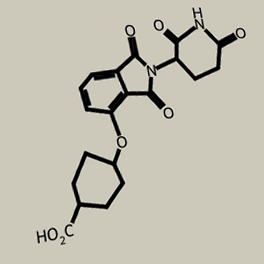 O=C1CCC(N2C(=O)c3cccc(OC4CCC(C(=O)O)CC4)c3C2=O)C(=O)N1